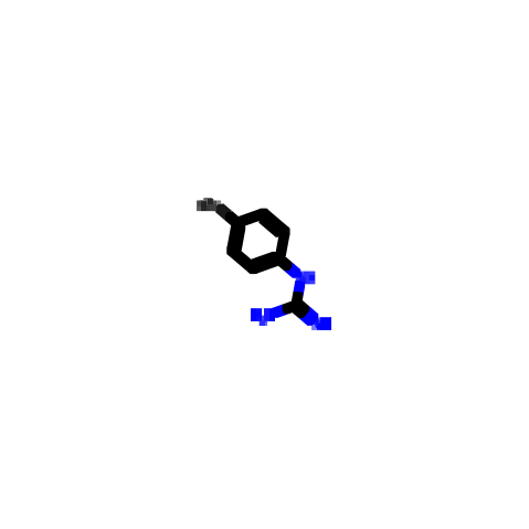 CCCCc1ccc(NC(=N)N)cc1